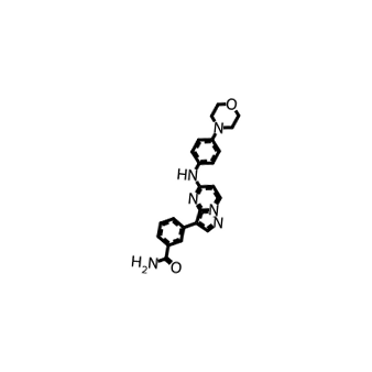 NC(=O)c1cccc(-c2cnn3ccc(Nc4ccc(N5CCOCC5)cc4)nc23)c1